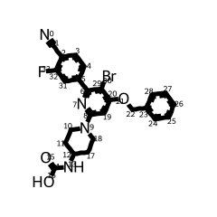 N#Cc1ccc(-c2nc(N3CCC(NC(=O)O)CC3)cc(OCc3ccccc3)c2Br)cc1F